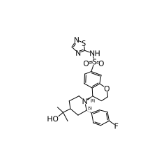 CC(C)(O)C1CCN([C@@H]2CCOc3cc(S(=O)(=O)Nc4ncns4)ccc32)[C@H](c2ccc(F)cc2)C1